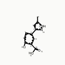 Cc1cc(-c2ccc(Cl)c(C(=O)O)c2)n[nH]1